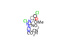 COC(=O)C1(Cc2nc(Cl)nc(N3CCN(C(=O)O)C(CC#N)C3)c2[N+](=O)[O-])CCCc2cc(Cl)ccc21